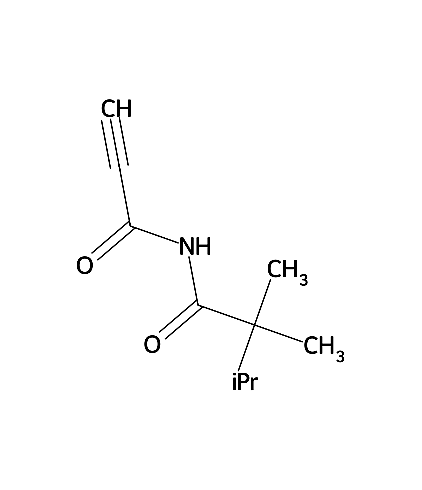 C#CC(=O)NC(=O)C(C)(C)C(C)C